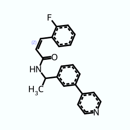 CC(NC(=O)/C=C\c1ccccc1F)c1cccc(-c2ccncc2)c1